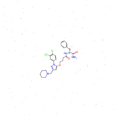 NC(=O)[C@H](Cc1ccccc1)NC(=O)CCCOc1cc(CN2CCCCC2)nn1-c1ccc(Cl)c(Cl)c1